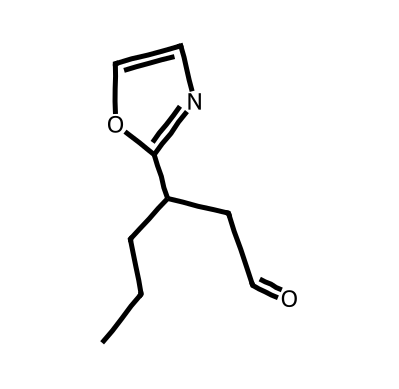 CCCC(CC=O)c1ncco1